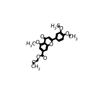 COCOC(=O)c1cc(OC)c2c(=O)cc(-c3ccc(OC)c(OC)c3)oc2c1